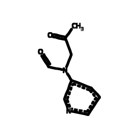 CC(=O)CN(C=O)c1cccnc1